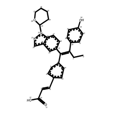 CC/C(=C(\c1ccc(C=CC(=O)O)cc1)c1ccc2c(cnn2C2CCCCO2)c1)c1ccc(O)cc1